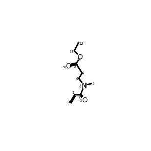 C=CC(=O)N(C)CCC(=O)OCC